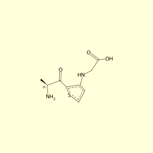 C[C@H](N)C(=O)c1sccc1NCC(=O)O